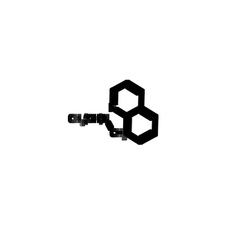 CN(C)O.c1ccc2ncccc2c1